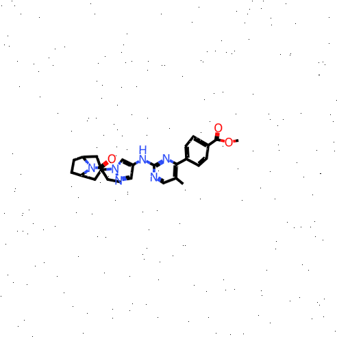 CCC(=O)N1C2CCC1CC(n1cc(Nc3ncc(C)c(-c4ccc(C(=O)OC)cc4)n3)cn1)C2